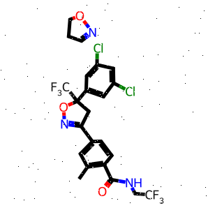 C1=NOCC1.Cc1cc(C2=NOC(c3cc(Cl)cc(Cl)c3)(C(F)(F)F)C2)ccc1C(=O)NCC(F)(F)F